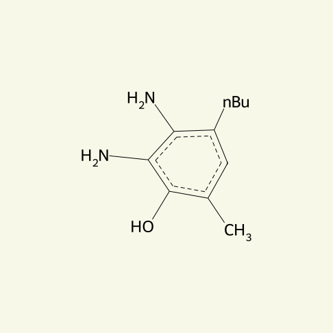 CCCCc1cc(C)c(O)c(N)c1N